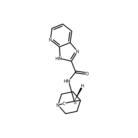 O=C(N[C@H]1CN2CCC1CC2)c1nc2cccnc2[nH]1